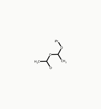 CC(C)OC(C)OC(C)[O]